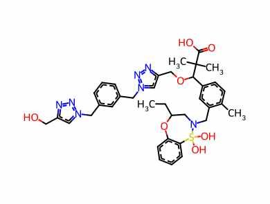 CCC1CN(Cc2cc(C(OCc3cn(Cc4cccc(Cn5cc(CO)nn5)c4)nn3)C(C)(C)C(=O)O)ccc2C)S(O)(O)c2ccccc2O1